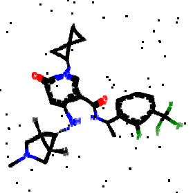 C[C@@H](NC(=O)c1cn([C@H]2CC23CC3)c(=O)cc1N[C@@H]1[C@@H]2CN(C)C[C@@H]21)c1cccc(C(F)(F)F)c1F